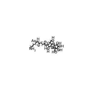 CC(=O)C(CCCCN)NC(=O)CCC(=O)N[C@@H]1OC(CO)[C@@H](O[C@@H]2OC(CO)[C@H](O)C(O)[C@@H]2O)[C@H](O)C1O